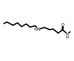 CCCCCCCCNCCCCC(=O)NC